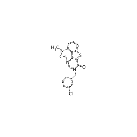 CN(C)c1ccnc2sc3c(=O)n(Cc4cccc(Cl)c4)cnc3c12